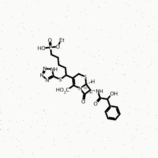 CCOP(=O)(O)CCCCC(Sc1nnn[nH]1)C1=C(C(=O)O)N2C(=O)[C@@H](NC(=O)C(O)c3ccccc3)[C@@H]2SC1